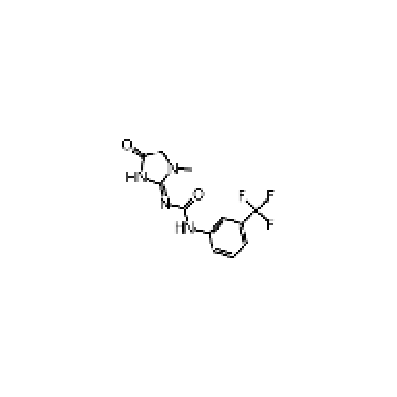 CN1CC(=O)NC1=NC(=O)Nc1cccc(C(F)(F)F)c1